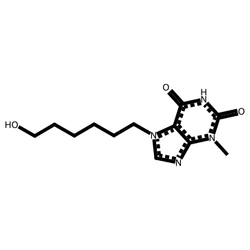 Cn1c(=O)[nH]c(=O)c2c1ncn2CCCCCCO